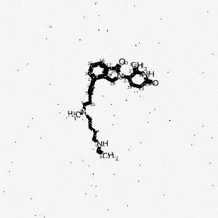 C=CNCCCCN(C)CCC#Cc1cccc2c1CN(C1CCC(=O)NC1=C)C2=O